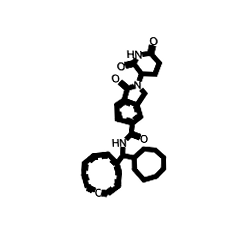 O=C1CCC(N2Cc3cc(C(=O)NC(c4ccccccccc4)C4CCCCCCC4)ccc3C2=O)C(=O)N1